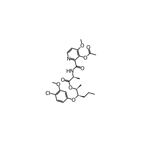 CCC[C@@H](Oc1ccc(Cl)c(OC)c1)[C@H](C)OC(=O)[C@H](C)NC(=O)c1nccc(OC)c1OC(C)=O